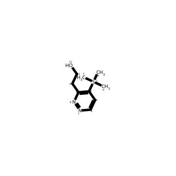 CS(C)(C)c1ccnnc1CCO